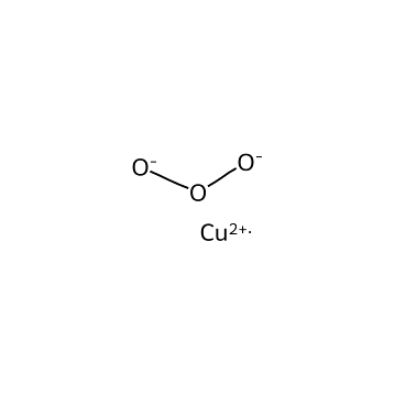 [Cu+2].[O-]O[O-]